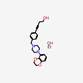 CCO.OCCC#Cc1ccc(CN2CCN(c3cccc4c3OCCO4)CC2)cc1